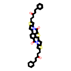 O=C(/C=C/c1ccccc1)CCc1cc2c(cc3c4ccc5c(=O)n6c7cc(CCC(=O)/C=C/C8=CCCC=C8)sc7cc6c6sc(c(=O)n23)c4c56)s1